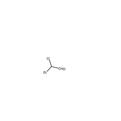 CCC(Cl)[C]=O